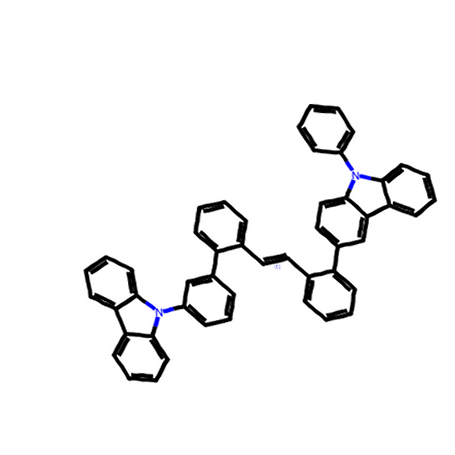 C(=C\c1ccccc1-c1ccc2c(c1)c1ccccc1n2-c1ccccc1)/c1ccccc1-c1cccc(-n2c3ccccc3c3ccccc32)c1